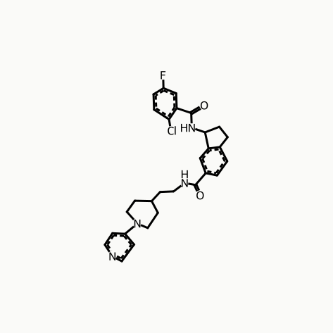 O=C(NCCC1CCN(c2ccncc2)CC1)c1ccc2c(c1)C(NC(=O)c1cc(F)ccc1Cl)CC2